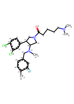 CN(C)CCCCC(=O)N1CC(c2ccc(Cl)c(Cl)c2)C(N(C)Cc2ccc(C(F)(F)F)c(F)c2)C1